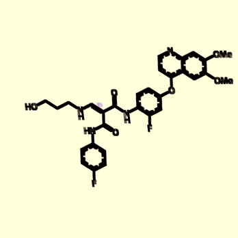 COc1cc2nccc(Oc3ccc(NC(=O)/C(=C/NCCCO)C(=O)Nc4ccc(F)cc4)c(F)c3)c2cc1OC